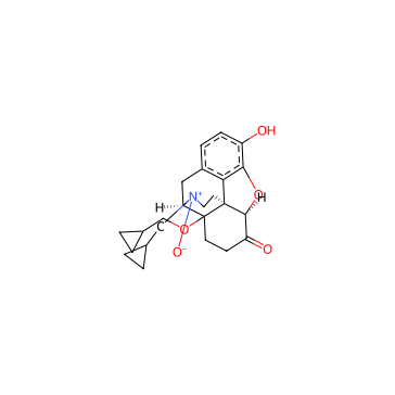 O=C1CCC2(OCC3CC3)[C@H]3Cc4ccc(O)c5c4[C@@]2(CC[N+]3([O-])CC2CC2)[C@H]1O5